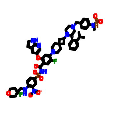 CC(C)c1ccccc1[C@@H]1CN(Cc2ccc(N(C)[SH](=O)=O)cc2)CCN1C1CC2(CCN(c3cc(Oc4cnc5[nH]ccc5c4)c(C(=O)NS(=O)(=O)c4ccc(NCC5(F)CCOCC5)c([N+](=O)[O-])c4)cc3F)CC2)C1